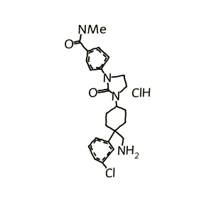 CNC(=O)c1ccc(N2CCN(C3CCC(CN)(c4cccc(Cl)c4)CC3)C2=O)cc1.Cl